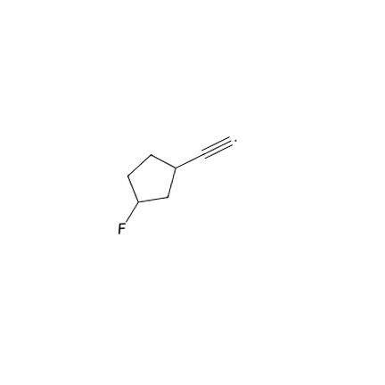 [C]#CC1CCC(F)C1